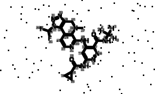 [2H]C([2H])([2H])NC(=O)c1nnc(NC(=O)C2CC2)cc1Nc1nccc2c1N(C)Cc1nnn(C(F)F)c1-2